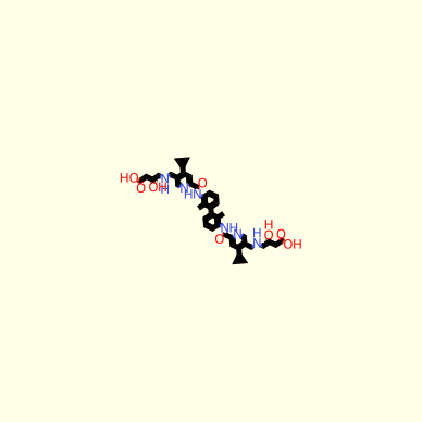 Cc1c(NC(=O)c2cc(C3CC3)c(CNC[C@@H](O)CC(=O)O)cn2)cccc1-c1cccc(NC(=O)c2cc(C3CC3)c(CNC[C@@H](O)CC(=O)O)cn2)c1C